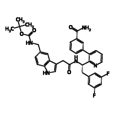 CC(C)(C)OC(=O)NCc1ccc2[nH]cc(CC(=O)N[C@@H](Cc3cc(F)cc(F)c3)c3ncccc3-c3cccc(C(N)=O)c3)c2c1